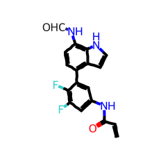 C=CC(=O)Nc1cc(F)c(F)c(-c2ccc(NC=O)c3[nH]ccc23)c1